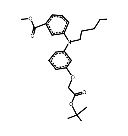 CCCCCN(c1cccc(OCC(=O)OC(C)(C)C)c1)c1cccc(C(=O)OC)c1